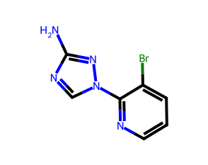 Nc1ncn(-c2ncccc2Br)n1